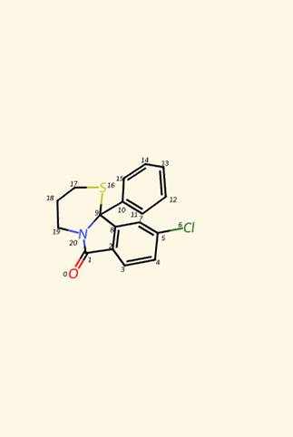 O=C1c2ccc(Cl)cc2C2(c3ccccc3)SCCCN12